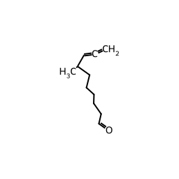 C=C=CC(C)CCCCCC=O